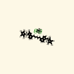 CC1=Cc2c(CCCCCc3cccc4c3C=C(C)C4[Si](C)(C)C3C(C)=C(C)C(C)=C3C)cccc2C1[Si](C)(C)C1C(C)=C(C)C(C)=C1C.[Cl][Zr][Cl].[Cl][Zr][Cl]